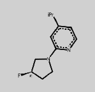 CC(C)c1ccnc(N2CC[C@@H](F)C2)c1